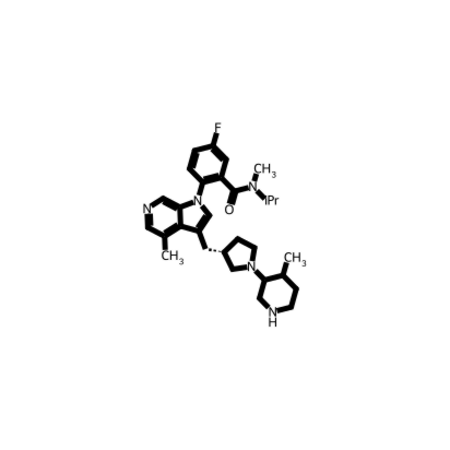 Cc1cncc2c1c(C[C@@H]1CCN(C3CNCCC3C)C1)cn2-c1ccc(F)cc1C(=O)N(C)C(C)C